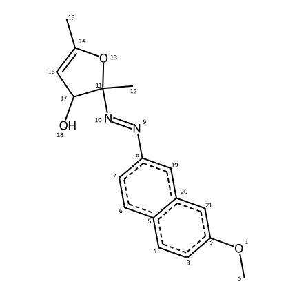 COc1ccc2ccc(/N=N/C3(C)OC(C)=CC3O)cc2c1